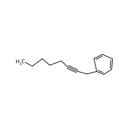 CCCCCC#CCc1[c]cccc1